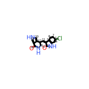 O=C1Nc2cc(Cl)ccc2C1=CC1CNC(=O)c2c[nH]cc21